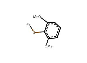 C[CH]Sc1c(OC)cccc1OC